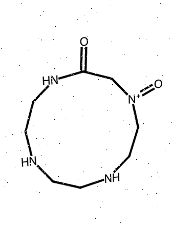 O=C1C[N+](=O)CCNCCNCCN1